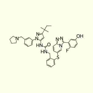 CCC(C)(C)c1cc(NC(=O)NCc2ccccc2Sc2ccc3nnc(-c4cc(O)ccc4F)n3c2)n(-c2cccc(CN3CCCC3)c2)n1